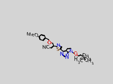 COc1ccc(COCC(=CC#N)c2ncc(-c3ncnc4c3ccn4COCC[Si](C)(C)C)s2)cc1